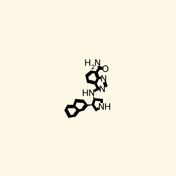 NC(=O)c1cccc2c(N[C@@H]3CNC[C@H]3c3ccc4ccccc4c3)ncnc12